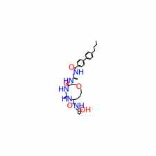 C=C1CNC(=O)C(NC(=C)CNC(=O)c2ccc(-c3ccc(CCCC)cc3)cc2)COCCCCC(C(=O)NCB(C)O)N1